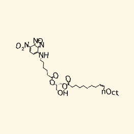 CCCCCCCC/C=C\CCCCCCCC(=O)OC[C@H](CO)OC(=O)CCCCCNc1ccc([N+](=O)[O-])c2nonc12